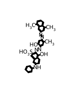 Cc1cc(N=Nc2c(S(=O)(=O)O)cc3cc(Nc4ccccc4)ccc3c2O)c(O)cc1N=Nc1cc(C)c2cccc(C)c2c1